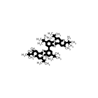 Cc1cc2c(cc(C(C)(C)C)n3c4cc(C(C)(C)C)cc(-c5cc(C(C)(C)C)cc6c5nc5c7cc(C)c(C(C)(C)C)nc7cc(C(C)(C)C)n65)c4nc23)nc1C(C)(C)C